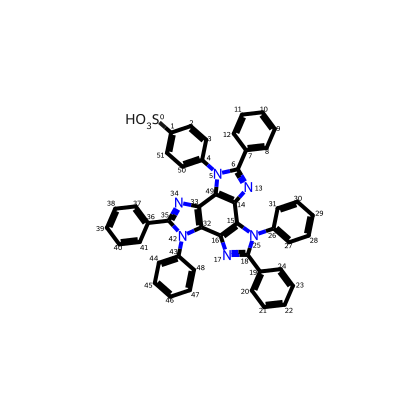 O=S(=O)(O)c1ccc(-n2c(-c3ccccc3)nc3c4c(nc(-c5ccccc5)n4-c4ccccc4)c4c(nc(-c5ccccc5)n4-c4ccccc4)c32)cc1